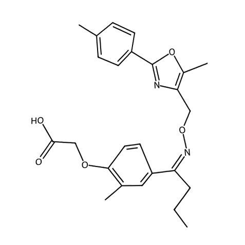 CCCC(=NOCc1nc(-c2ccc(C)cc2)oc1C)c1ccc(OCC(=O)O)c(C)c1